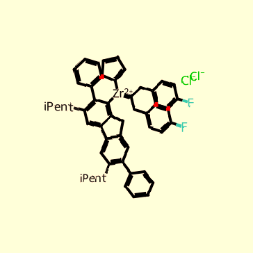 CCCC(C)c1cc2c(cc1-c1ccccc1)Cc1c-2cc(C(C)CCC)c(-c2ccccc2)[c]1[Zr+2]([C]1=CC=CC1)=[C](Cc1ccc(F)cc1)Cc1ccc(F)cc1.[Cl-].[Cl-]